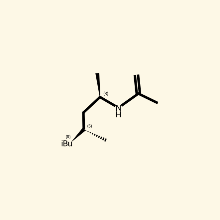 C=C(C)N[C@H](C)C[C@H](C)[C@H](C)CC